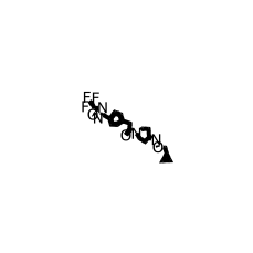 O=C(Cc1ccc(-c2noc(C(F)(F)F)n2)cc1)N1CCC(=NOCC2CC2)CC1